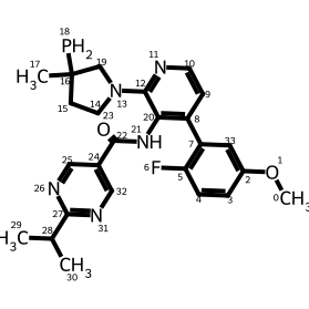 COc1ccc(F)c(-c2ccnc(N3CCC(C)(P)C3)c2NC(=O)c2cnc(C(C)C)nc2)c1